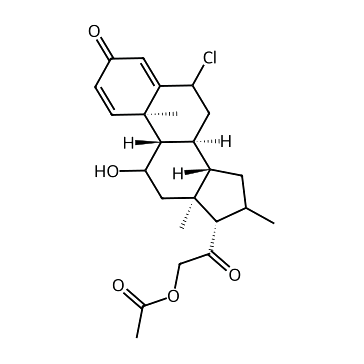 CC(=O)OCC(=O)[C@H]1C(C)C[C@H]2[C@@H]3CC(Cl)C4=CC(=O)C=C[C@]4(C)[C@H]3C(O)C[C@]12C